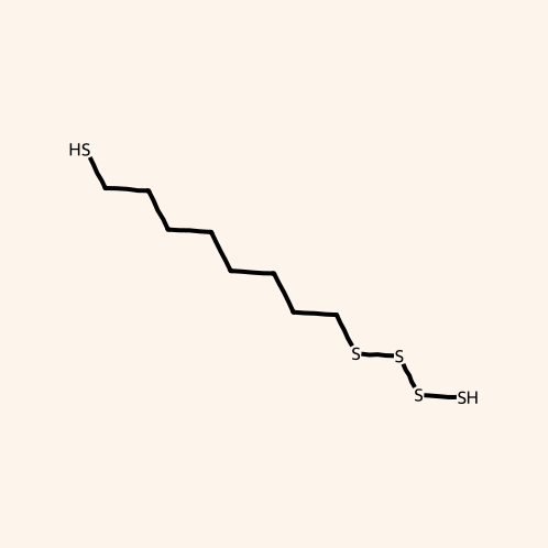 SCCCCCCCCSSSS